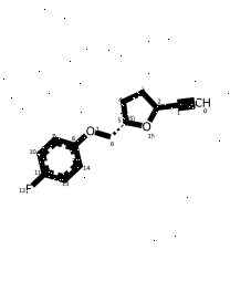 C#CC1CC[C@@H](COc2ccc(F)cc2)O1